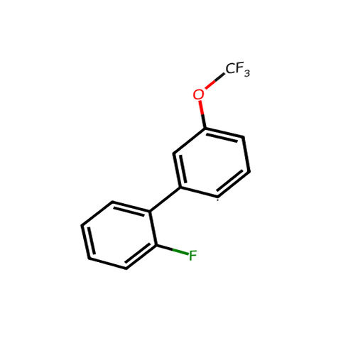 Fc1ccccc1-c1[c]ccc(OC(F)(F)F)c1